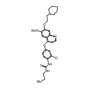 COc1cc2c(Oc3ccc(NC(=O)NCCC(C)(C)C)c(Cl)c3)ccnc2cc1OCCN1CCCCC1